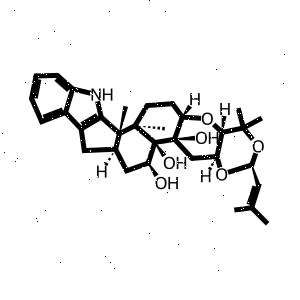 CC(C)=C[C@H]1O[C@H]2C[C@@]3(O)[C@H](CC[C@@]4(C)[C@@]3(O)[C@@H](O)C[C@H]3Cc5c([nH]c6ccccc56)[C@@]34C)O[C@@H]2C(C)(C)O1